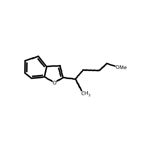 [CH2]OCCCC(C)c1cc2ccccc2o1